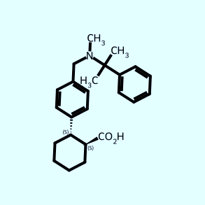 CN(Cc1ccc([C@H]2CCCC[C@@H]2C(=O)O)cc1)C(C)(C)c1ccccc1